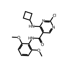 COc1cccc(OC)c1NC(=O)c1cnc(Cl)nc1NC1CCC1